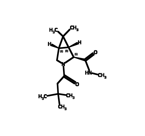 CNC(=O)[C@@H]1[C@@H]2[C@H](CN1C(=O)CC(C)(C)C)C2(C)C